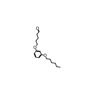 CCCCCCOc1cccc(OCCCCC=O)c1